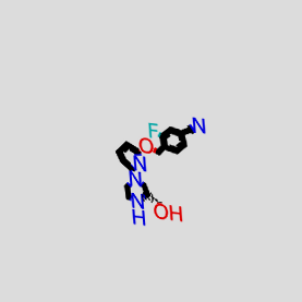 N#Cc1ccc(COc2cccc(N3CCN[C@@H](CO)C3)n2)c(F)c1